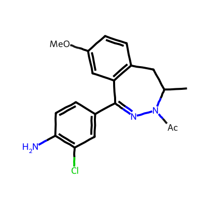 COc1ccc2c(c1)C(c1ccc(N)c(Cl)c1)=NN(C(C)=O)C(C)C2